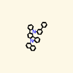 c1ccc(-c2cccc(-n3c4ccccc4c4ccc5c(c6ccccc6n5-c5cccc6ccccc56)c43)c2)cc1